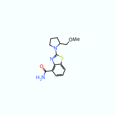 COCC1CCCN1c1nc2c(C(N)=O)[c]ccc2s1